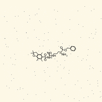 Cc1c(C)c(S(=O)(=O)NC(=N)NCCC[C@@H](N)C(=O)OCc2ccccc2)c(C)c2c1OC(C)(C)C2